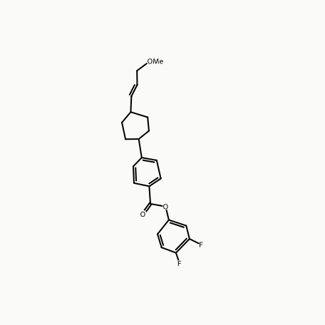 COCC=CC1CCC(c2ccc(C(=O)Oc3ccc(F)c(F)c3)cc2)CC1